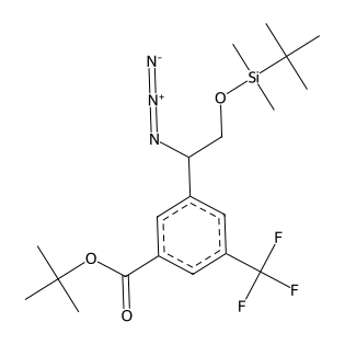 CC(C)(C)OC(=O)c1cc(C(CO[Si](C)(C)C(C)(C)C)N=[N+]=[N-])cc(C(F)(F)F)c1